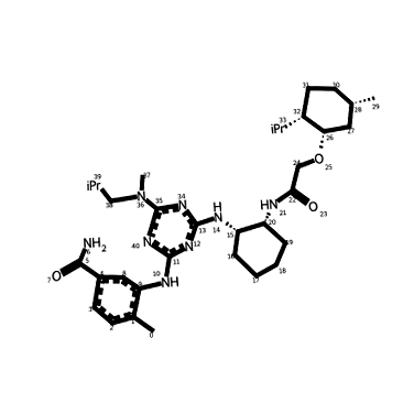 Cc1ccc(C(N)=O)cc1Nc1nc(N[C@H]2CCCC[C@H]2NC(=O)CO[C@H]2C[C@@H](C)CC[C@H]2C(C)C)nc(N(C)CC(C)C)n1